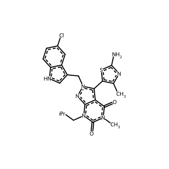 Cc1nc(N)sc1-c1c2c(=O)n(C)c(=O)n(CC(C)C)c2nn1Cc1c[nH]c2ccc(Cl)cc12